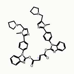 Cn1c(CN2CCCC2)cnc1-c1ccc(-n2c(OC(=O)/C=C/C(=O)Oc3nc4ccccc4n3-c3ccc(-c4ncc(CN5CCCC5)n4C)cc3)nc3ccccc32)cc1